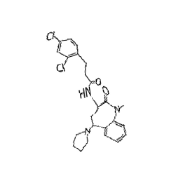 CN1C(=O)C(NC(=O)CCc2ccc(Cl)cc2Cl)CC(N2CCCC2)c2ccccc21